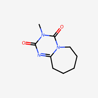 Cn1c(=O)nc2n(c1=O)CCCCC2